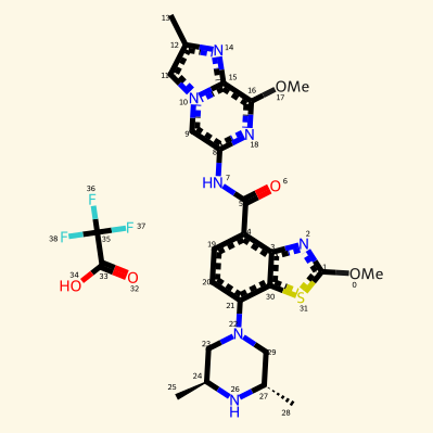 COc1nc2c(C(=O)Nc3cn4cc(C)nc4c(OC)n3)ccc(N3C[C@H](C)N[C@@H](C)C3)c2s1.O=C(O)C(F)(F)F